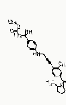 Cc1cc(C(=O)N2CCCC2C)ccc1C#CCNc1ccc(C(=N)NC(=O)OC(C)(C)C)cc1